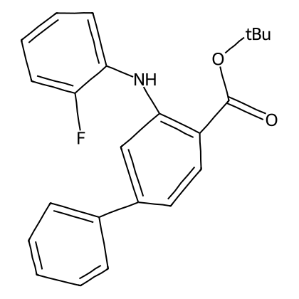 CC(C)(C)OC(=O)c1ccc(-c2ccccc2)cc1Nc1ccccc1F